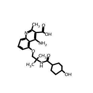 Cc1nc2cccc(OCC(C)(C)NC(=O)C3CCC(O)CC3)c2c(N)c1C(=O)O